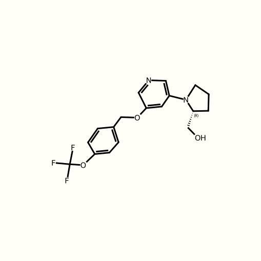 OC[C@H]1CCCN1c1cncc(OCc2ccc(OC(F)(F)F)cc2)c1